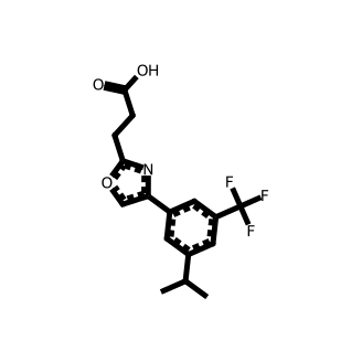 CC(C)c1cc(-c2coc(CCC(=O)O)n2)cc(C(F)(F)F)c1